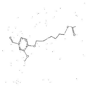 COc1cc(C=O)ccc1OCCCCCCOC(C)=O